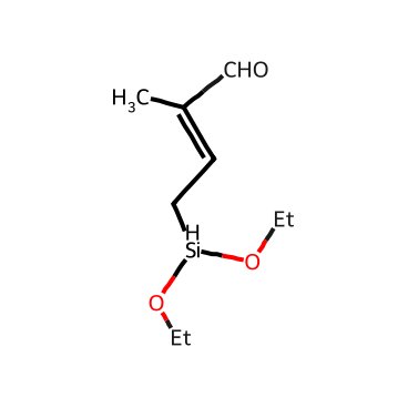 CCO[SiH](CC=C(C)C=O)OCC